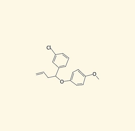 C=CCC(Oc1ccc(OC)cc1)c1cccc(Cl)c1